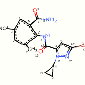 Cc1cc(C#N)cc(C(N)=O)c1NC(=O)c1cc(Br)nn1C1CC1